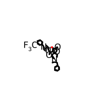 CC1=C(C(=O)N2CCN(c3cccc(C(F)(F)F)c3)CC2)C2(CCN(C(C)Cc3ccccc3)CC2)OC1=O